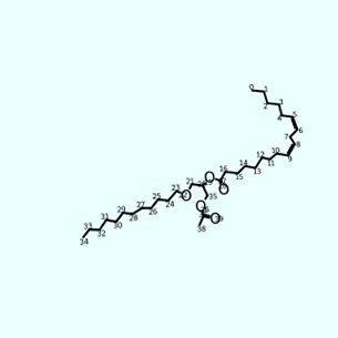 CCCCC/C=C\C/C=C\CCCCCCCC(=O)OC(COCCCCCCCCCCCC)COC(C)=O